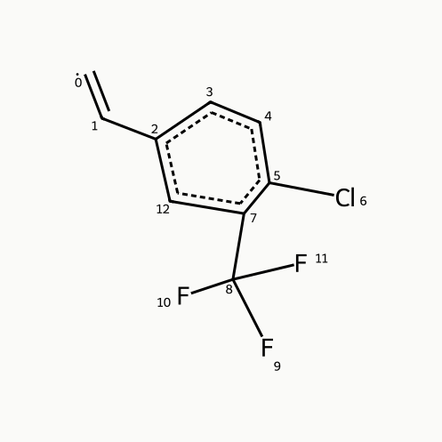 [CH]=Cc1ccc(Cl)c(C(F)(F)F)c1